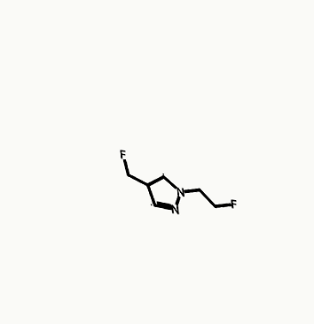 FCCN1[CH]C(CF)[C]=N1